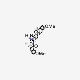 C=C(/C=C(\N=C/N)N1CCC(N2CCc3cc(OC)ccc3NC2=O)CC1)C(=O)N1CCc2ccc(OC)cc21